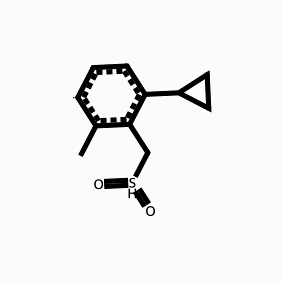 Cc1[c]ccc(C2CC2)c1C[SH](=O)=O